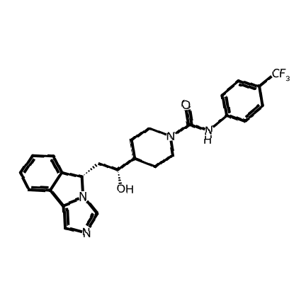 O=C(Nc1ccc(C(F)(F)F)cc1)N1CCC([C@H](O)C[C@H]2c3ccccc3-c3cncn32)CC1